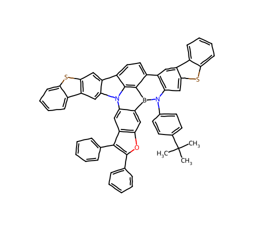 CC(C)(C)c1ccc(N2B3c4cc5oc(-c6ccccc6)c(-c6ccccc6)c5cc4-n4c5cc6c(cc5c5ccc(c3c54)-c3cc4c(cc32)sc2ccccc24)sc2ccccc26)cc1